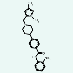 Cc1cc(CN2CCC(c3ccc(C(=O)Nc4ccccc4N)cc3)CC2)n(C)n1